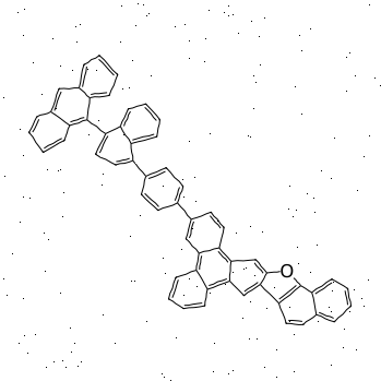 c1ccc2c(-c3ccc(-c4ccc(-c5ccc6c(c5)c5ccccc5c5cc7c(cc65)oc5c6ccccc6ccc75)cc4)c4ccccc34)c3ccccc3cc2c1